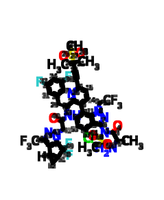 C[C@H](N)C(=O)N(c1nn(CC(F)(F)F)c2c(-c3ccc(C#CC(C)(C)S(C)(=O)=O)nc3[C@H](Cc3cc(F)cc(F)c3)NC(=O)Cn3nc(C(F)(F)F)c4c3C(F)(F)C3C[C@H]43)ccc(Cl)c12)S(C)(=O)=O